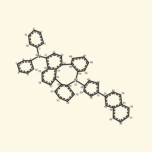 c1ccc(N(c2ccccc2)c2ccc3c4c(cccc24)-c2ccccc2N(c2ccc(-c4ccc5ccccc5c4)cc2)c2ccccc2-3)cc1